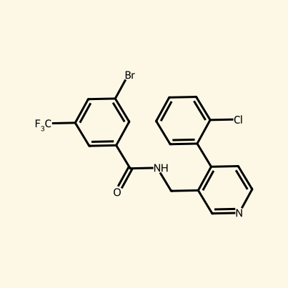 O=C(NCc1cnccc1-c1ccccc1Cl)c1cc(Br)cc(C(F)(F)F)c1